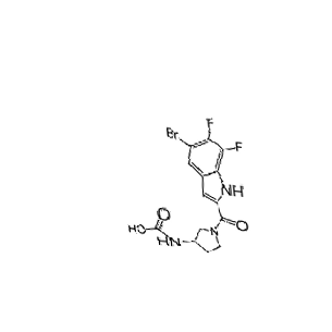 O=C(O)NC1CCN(C(=O)c2cc3cc(Br)c(F)c(F)c3[nH]2)C1